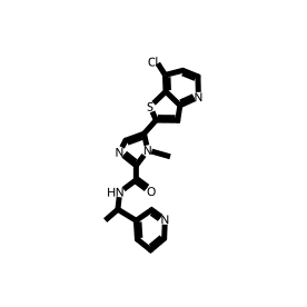 CC(NC(=O)c1ncc(-c2cc3nccc(Cl)c3s2)n1C)c1cccnc1